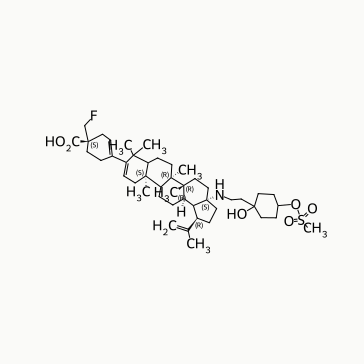 C=C(C)[C@@H]1CC[C@]2(NCCC3(O)CCC(OS(C)(=O)=O)CC3)CC[C@]3(C)[C@H](CCC4[C@@]5(C)CC=C(C6=CC[C@](CF)(C(=O)O)CC6)C(C)(C)C5CC[C@]43C)C12